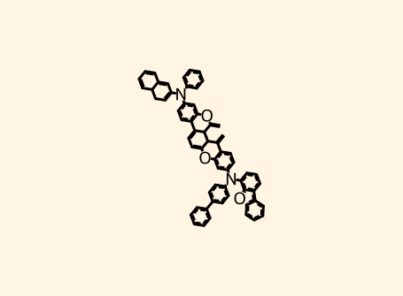 C=C1Oc2cc(N(C3=CCC4C=CC=CC4=C3)c3ccccc3)ccc2C2=CC=C3Oc4cc(N(c5ccc(-c6ccccc6)cc5)c5cccc6c5oc5ccccc56)ccc4C(=C)C3C12